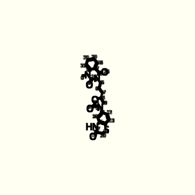 Cn1c(=O)n(CCC[C@H]2CN(c3ccc4c(c3)NC(=O)CS4)C(=O)O2)c(=O)c2ccccc21